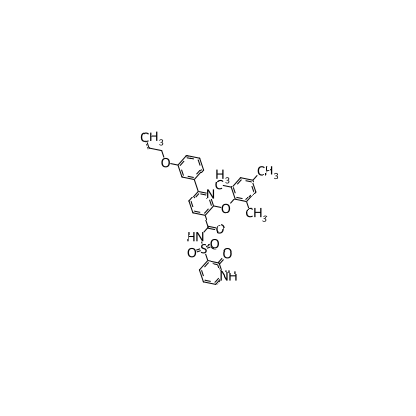 CCCOc1cccc(-c2ccc(C(=O)NS(=O)(=O)c3ccc[nH]c3=O)c(Oc3c(C)cc(C)cc3C)n2)c1